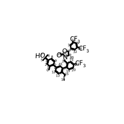 Cc1cc(C(C)(C)O)ccc1-c1ccc(CI)c(-c2ccc(C(F)(F)F)cc2CN2C(=O)O[C@H](c3cc(C(F)(F)F)cc(C(F)(F)F)c3)[C@@H]2C)c1